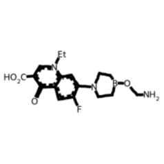 CCn1cc(C(=O)O)c(=O)c2cc(F)c(N3CCB(OCN)CC3)cc21